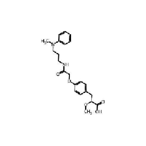 CO[C@@H](Cc1ccc(OCC(=O)NCCCN(C)c2ccccc2)cc1)C(=O)O